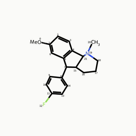 COc1ccc2c(c1)C(c1ccc(F)cc1)C1CCCN(C)C21